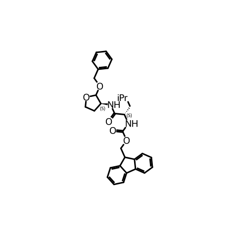 CC(C)C[C@H](NC(=O)OCC1c2ccccc2-c2ccccc21)C(=O)N[C@H]1CCOC1OCc1ccccc1